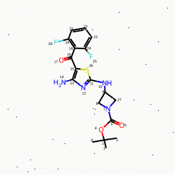 CC(C)(C)OC(=O)N1CC(Nc2nc(N)c(C(=O)c3c(F)cccc3F)s2)C1